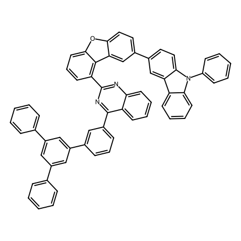 c1ccc(-c2cc(-c3ccccc3)cc(-c3cccc(-c4nc(-c5cccc6oc7ccc(-c8ccc9c(c8)c8ccccc8n9-c8ccccc8)cc7c56)nc5ccccc45)c3)c2)cc1